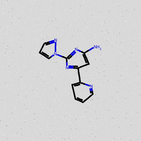 Nc1cc(-c2ccccn2)nc(-n2cccn2)n1